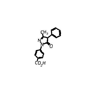 CC1=NN(c2ccc(C(=O)O)cc2)C(=O)C1c1ccccc1